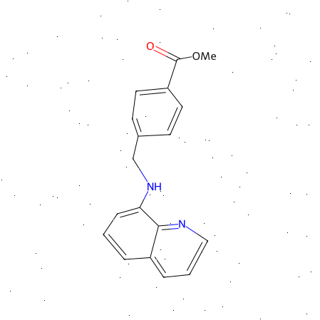 COC(=O)c1ccc(CNc2cccc3cccnc23)cc1